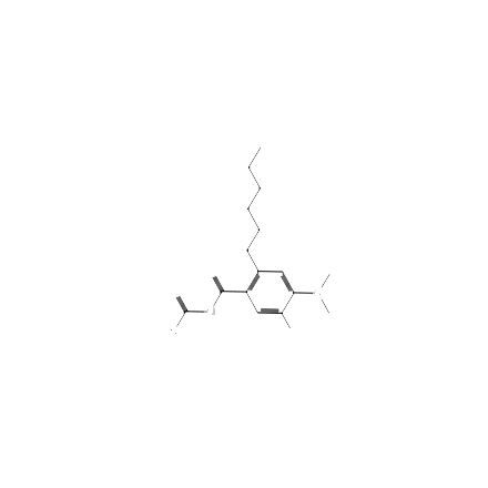 CCCCCCc1cc(N(C)C)c(O)cc1C(=O)NC(N)=O